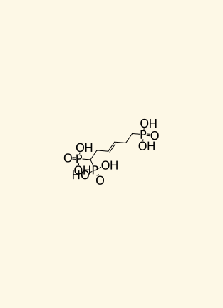 O=P(O)(O)CCC=CCC(P(=O)(O)O)P(=O)(O)O